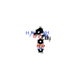 CC(C)(Oc1ccc(S(=O)(=O)N2CCCC2)cc1)/C(=N\C#N)NC1C2CC3CC1CC(C(N)=O)(C3)C2